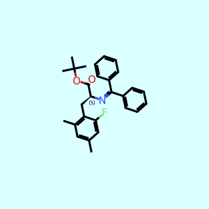 Cc1cc(C)c(C[C@H](N=C(c2ccccc2)c2ccccc2)C(=O)OC(C)(C)C)c(F)c1